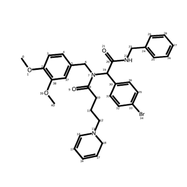 COc1ccc(CN(C(=O)CCCN2C=CC=CC2)C(C(=O)NCc2ccccc2)c2ccc(Br)cc2)cc1OC